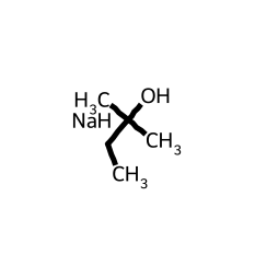 CCC(C)(C)O.[NaH]